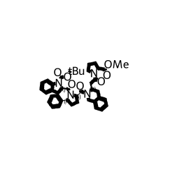 COC(=O)C1CCCN1C(=O)C[C@H]1Cc2ccccc2CN1C(=O)[C@@H]1CC[C@H](c2ccccc2)N1C(=O)[C@H]1Cc2ccccc2N1C(=O)OC(C)(C)C